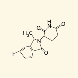 CC1c2cc(I)ccc2C(=O)N1C1CCC(=O)NC1=O